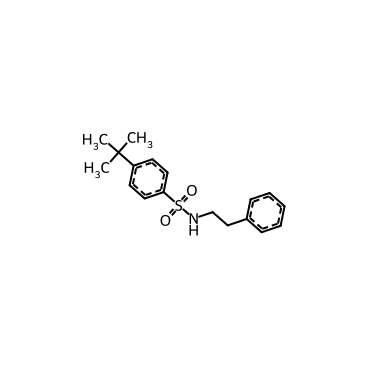 CC(C)(C)c1ccc(S(=O)(=O)NCCc2ccccc2)cc1